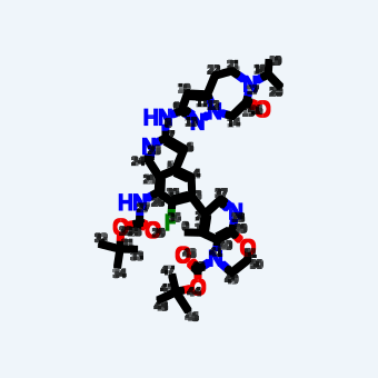 Cc1c(-c2cc3cc(Nc4cc5n(n4)CC(=O)N(C(C)C)CC5)ncc3c(NC(=O)OC(C)(C)C)c2F)cnc2c1N(C(=O)OC(C)(C)C)CCO2